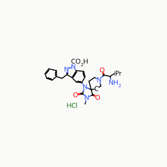 CC(C)C(N)C(=O)N1CCC2(CC1)C(=O)N(C)C(=O)N2c1ccc2c(c1)c(Cc1ccccc1)nn2C(=O)O.Cl